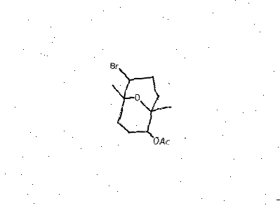 CC(=O)OC1CCC2(C)OC1(C)CCC2Br